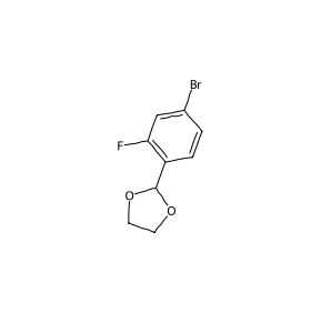 Fc1cc(Br)ccc1C1OCCO1